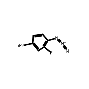 CC(C)c1ccc(N=[N+]=[N-])c(F)c1